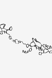 COc1cc(Nc2c(C#N)cnc3cc(OCCCN4CCN(CCOCCN5C(=O)c6ccccc6C5=O)CC4)c(OC)cc23)c(Cl)cc1Cl